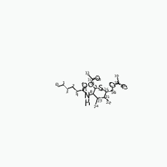 CCCCCC(=O)NC1C(OC(C)=O)SC(COC(C)=O)C(C)C1C